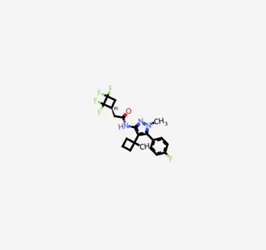 Cn1nc(NC(=O)C[C@@H]2CC(F)(F)C2(F)F)c(C2(C)CCC2)c1-c1ccc(F)cc1